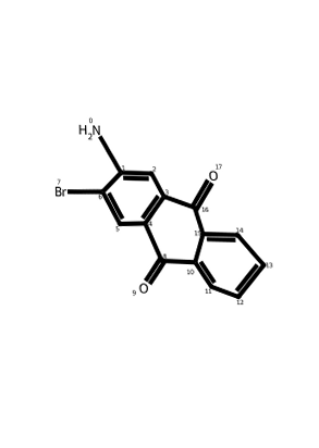 Nc1cc2c(cc1Br)C(=O)c1ccccc1C2=O